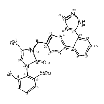 CCCc1cn(-c2c(Br)cccc2C(C)(C)C)c(=O)n1Cc1ccc(-c2ccccc2-c2nnn[nH]2)nc1